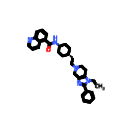 CCn1c(-c2ccccc2)nc2c1CCN(CC[C@H]1CC[C@H](NC(=O)c3cccc4ncccc34)CC1)C2